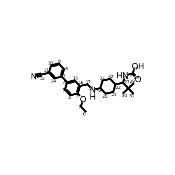 CCOc1ccc(-c2cccc(C#N)c2)cc1CNC1CCC(C(NC(=O)O)C(C)(C)C)CC1